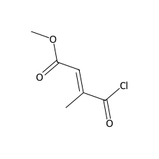 COC(=O)/C=C(\C)C(=O)Cl